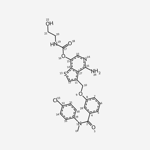 CN(C(=O)c1cccc(OCc2csc3c(OC(=O)NCCO)cnc(N)c23)c1)c1ccc(Cl)cc1